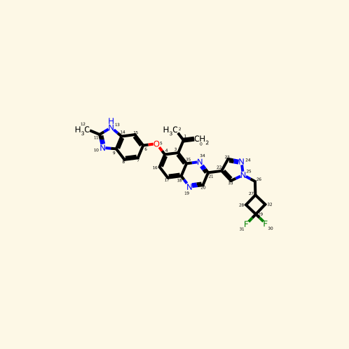 C=C(C)c1c(Oc2ccc3nc(C)[nH]c3c2)ccc2ncc(-c3cnn(CC4CC(F)(F)C4)c3)nc12